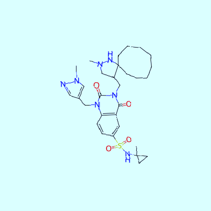 CN1CC(Cn2c(=O)c3cc(S(=O)(=O)NC4(C)CC4)ccc3n(Cc3cnn(C)c3)c2=O)C2(CCCCCCCC2)N1